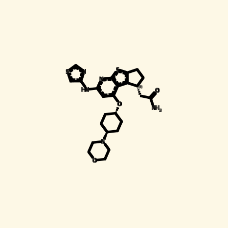 NC(=O)C[C@H]1CCc2sc3nc(Nc4cscn4)cc(O[C@H]4CC[C@H](N5CCOCC5)CC4)c3c21